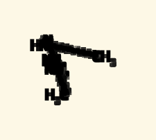 CCCCCCCCCCCCCC=CC=C(C=CCCCCCCCCCCCCCCC)C1=NCCN1.NCCN